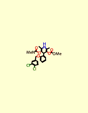 CNC(=O)OC1=C(C)NC(C)=C(OC(=O)OC)C1c1ccccc1OCc1ccc(Cl)c(Cl)c1